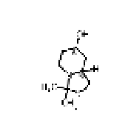 CC1(C)OC[C@H]2C[C@H](O)CCN21